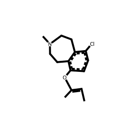 CC=C(C)Oc1ccc(Cl)c2c1CCN(C)CC2